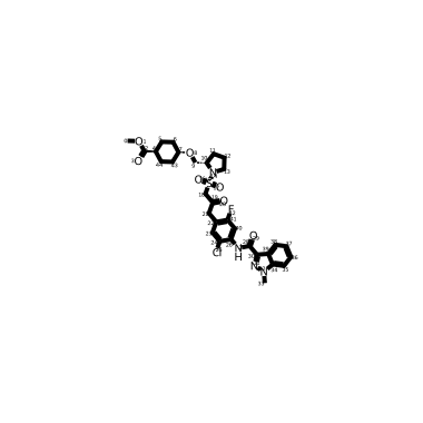 COC(=O)[C@H]1CC[C@H](OC[C@@H]2CCCN2S(=O)(=O)CC(=O)Cc2cc(Cl)c(NC(=O)c3nn(C)c4ccccc34)cc2F)CC1